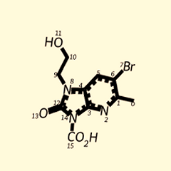 Cc1nc2c(cc1Br)n(CCO)c(=O)n2C(=O)O